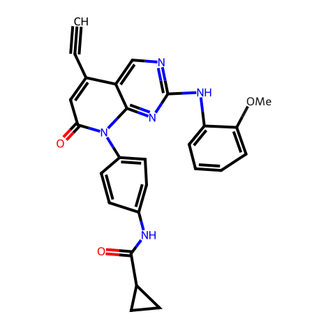 C#Cc1cc(=O)n(-c2ccc(NC(=O)C3CC3)cc2)c2nc(Nc3ccccc3OC)ncc12